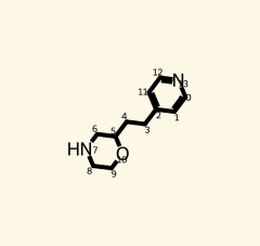 [c]1cc(CCC2CNCCO2)ccn1